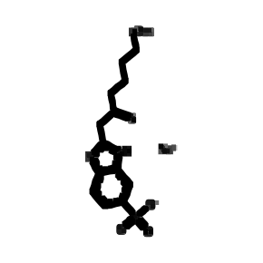 CCCCCCCCCCCCCCC(=S)Cc1nc2ccc(S(=O)(=O)[O-])cc2[nH]1.[Na+]